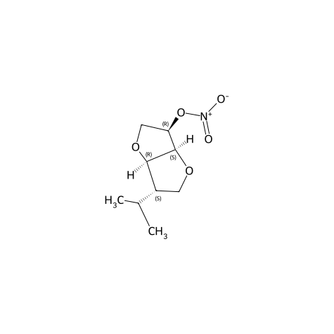 CC(C)[C@H]1CO[C@H]2[C@@H]1OC[C@H]2O[N+](=O)[O-]